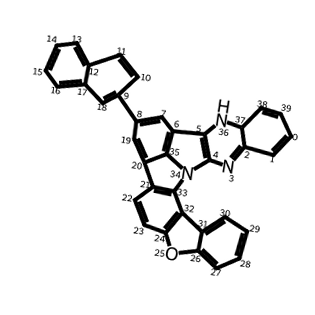 C1=CC2=Nc3c(c4cc(-c5ccc6ccccc6c5)cc5c6ccc7oc8ccccc8c7c6n3c45)NC2C=C1